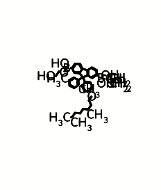 C=C.C=C.Cc1ccc(C)c(C2(c3ccc(OCCC(C)CCCC(C)C)cc3)c3cc(B(O)O)ccc3-c3ccc(B(O)OCCO)cc32)c1